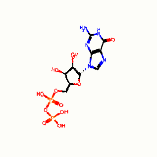 Nc1nc2c(ncn2[C@@H]2OC(COP(=O)(O)OP(=O)(O)O)[C@@H](O)[C@H]2O)c(=O)[nH]1